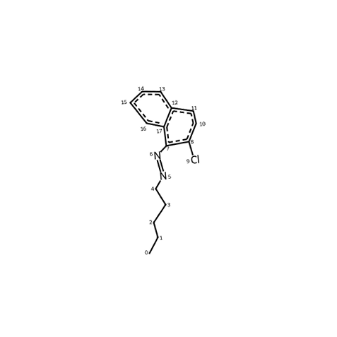 CCCCCN=Nc1c(Cl)ccc2ccccc12